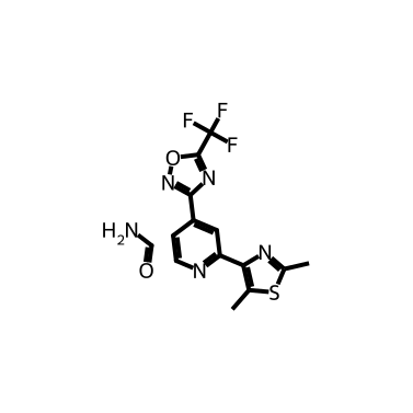 Cc1nc(-c2cc(-c3noc(C(F)(F)F)n3)ccn2)c(C)s1.NC=O